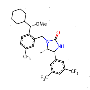 CO[C@H](c1ccc(C(F)(F)F)cc1CN1C(=O)N[C@H](c2cc(C(F)(F)F)cc(C(F)(F)F)c2)[C@@H]1C)C1CCCCC1